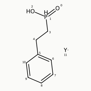 O=[PH](O)CCc1ccccc1.[Y]